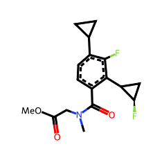 COC(=O)CN(C)C(=O)c1ccc(C2CC2)c(F)c1C1C[C@H]1F